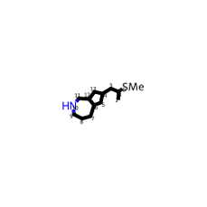 CSC(C)CC1CC2CCCNCC2C1